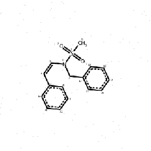 CS(=O)(=O)N(/C=C\c1ccccc1)Cc1ccccc1